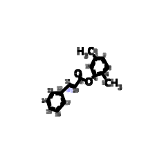 Cc1ccc(C)c(OC(=O)/C=C/c2ccccc2)c1